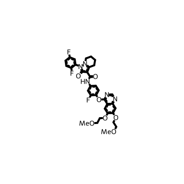 COCCOc1cc2ncnc(Oc3ccc(NC(=O)c4c5n(n(-c6cc(F)ccc6F)c4=O)CCCC5)cc3F)c2cc1OCCOC